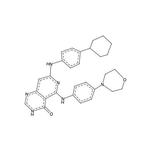 O=c1[nH]cnc2cc(Nc3ccc(C4CCCCC4)cc3)nc(Nc3ccc(N4CCOCC4)cc3)c12